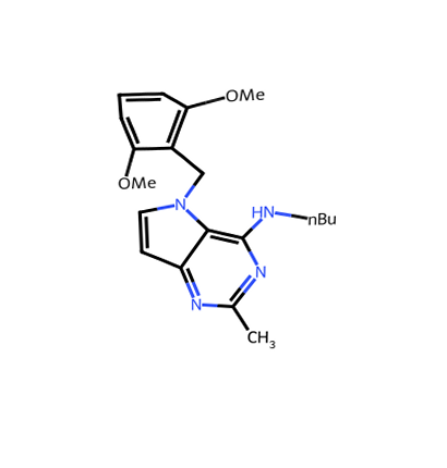 CCCCNc1nc(C)nc2ccn(Cc3c(OC)cccc3OC)c12